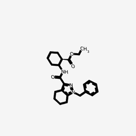 CCOC(=O)[C@@H]1CCCCC1NC(=O)c1nn(Cc2ccccc2)c2c1CCCC2